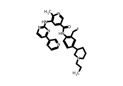 CCCN1CCCC(c2ccc(NC(=O)c3cnc(C)c(Nc4nccc(-c5cccnc5)n4)c3)c(CF)c2)C1